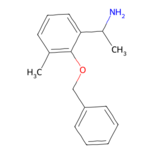 Cc1cccc(C(C)N)c1OCc1ccccc1